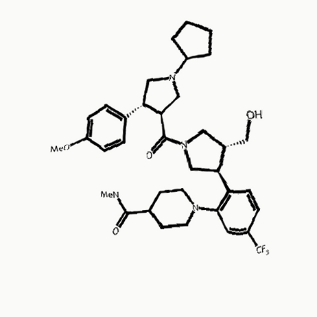 CNC(=O)C1CCN(c2cc(C(F)(F)F)ccc2[C@H]2CN(C(=O)[C@@H]3CN(C4CCCC4)C[C@H]3c3ccc(OC)cc3)C[C@@H]2CO)CC1